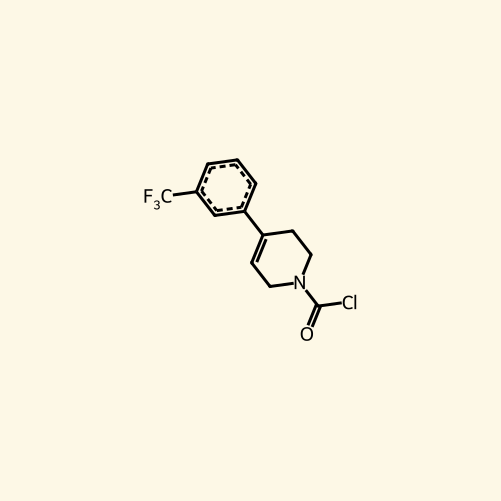 O=C(Cl)N1CC=C(c2cccc(C(F)(F)F)c2)CC1